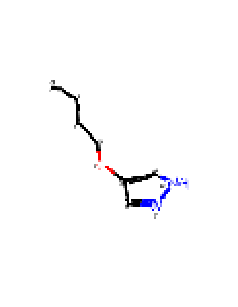 CCCCOc1[c]n[nH]c1